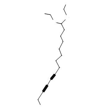 CCC#CC#CCCCCCCCC(OCC)OCC